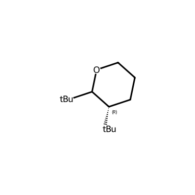 CC(C)(C)C1OCCC[C@@H]1C(C)(C)C